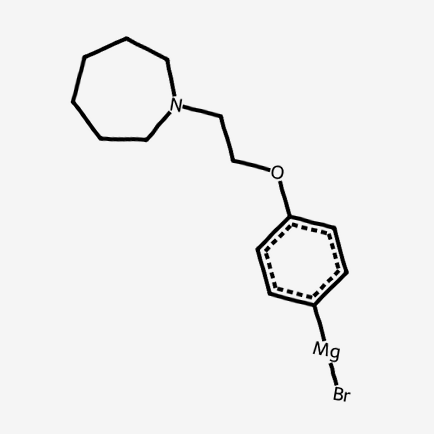 [Br][Mg][c]1ccc(OCCN2CCCCCC2)cc1